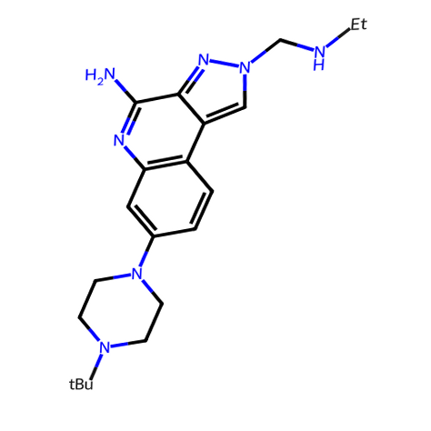 CCNCn1cc2c(n1)c(N)nc1cc(N3CCN(C(C)(C)C)CC3)ccc12